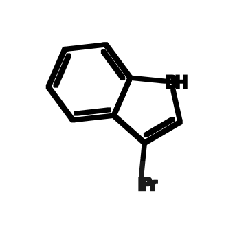 CC(C)C1=CBc2ccccc21